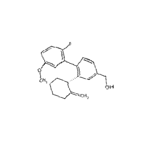 C=C1CCCC[C@@H]1c1cc(CO)ccc1-c1cc(OC)ccc1F